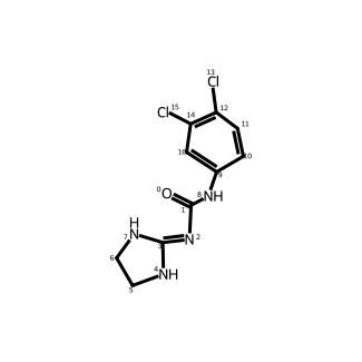 O=C(N=C1NCCN1)Nc1ccc(Cl)c(Cl)c1